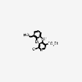 CCOC(=O)c1cnc(Cl)cc1Nc1cccc(CO)c1CC